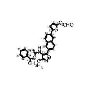 Cc1noc(-c2ccc3cc(-c4ccc(OC=O)s4)ccc3c2)c1NC(=O)OC(C)c1ccccc1